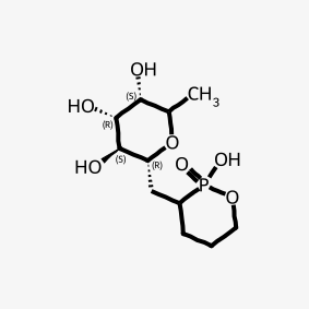 CC1O[C@H](CC2CCCOP2(=O)O)[C@@H](O)[C@H](O)[C@@H]1O